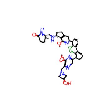 COc1nc(-c2cccc(-c3cccc(-c4cc5c(c(OC)n4)[C@@H](NC[C@@H]4CCC(=O)N4)CC5)c3Cl)c2Cl)cnc1CN1CC(O)C1